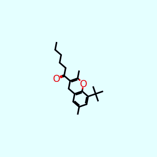 CCCCCC(=O)C1=C(C)Oc2c(cc(C)cc2C(C)(C)C)C1